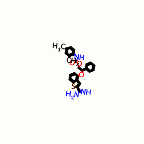 Cc1ccc(NC(=O)OCC(Oc2cccc3sc(C(=N)N)cc23)c2ccccc2)c(C)c1